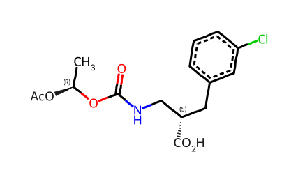 CC(=O)O[C@@H](C)OC(=O)NC[C@H](Cc1cccc(Cl)c1)C(=O)O